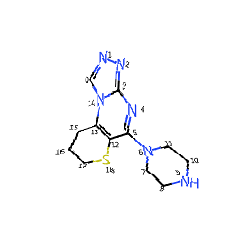 c1nnc2nc(N3CCNCC3)c3c(n12)CCCS3